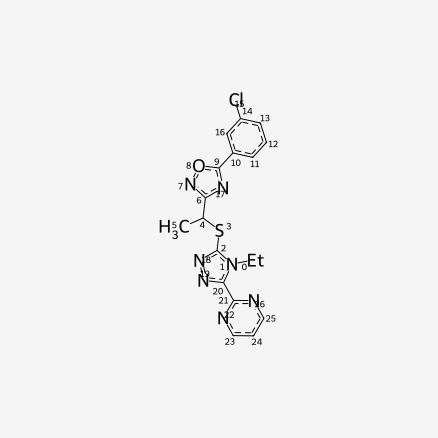 CCn1c(SC(C)c2noc(-c3cccc(Cl)c3)n2)nnc1-c1ncccn1